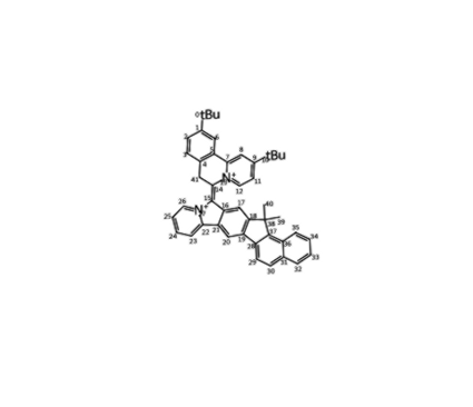 CC(C)(C)c1ccc2c(c1)-c1cc(C(C)(C)C)cc[n+]1/C(=C1\c3cc4c(cc3-c3cccc[n+]31)-c1ccc3ccccc3c1C4(C)C)C2